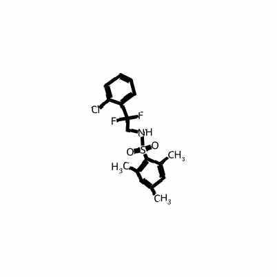 Cc1cc(C)c(S(=O)(=O)NCC(F)(F)c2ccccc2Cl)c(C)c1